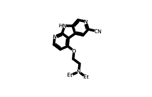 CCN(CC)CCOc1ccnc2[nH]c3cnc(C#N)cc3c12